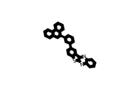 c1cc(-c2ccc3sc4nc5ccccc5nc4c3c2)cc(-c2cc3ccccc3c3ccccc23)c1